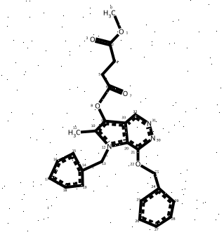 COC(=O)CCC(=O)Oc1c(C)n(Cc2ccccc2)c2c(OCc3ccccc3)nncc12